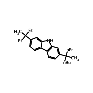 CCCCC(C)(CCC)c1ccc2c(c1)[nH]c1cc(C(C)(CC)CC)ccc12